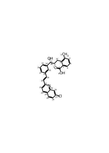 Cc1cccc(C(=O)O)c1CC[C@@H](O)c1cccc(C=Cc2ccc3ccc(Cl)cc3n2)c1